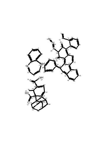 C1=CNc2ccccc2N=C1.C=Cc1ccccc1C1=c2ccc3c(c2C(=O)C(N=[N+]=[N-])C1=O)C(c1ccccc1)C=c1ccccc1=3.CC1C(C(=O)O)=CC=CC1(C(=O)O)C12CC3CC(CC(C3)C1)C2